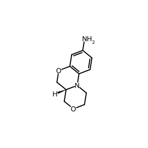 Nc1ccc2c(c1)OC[C@H]1COCCN21